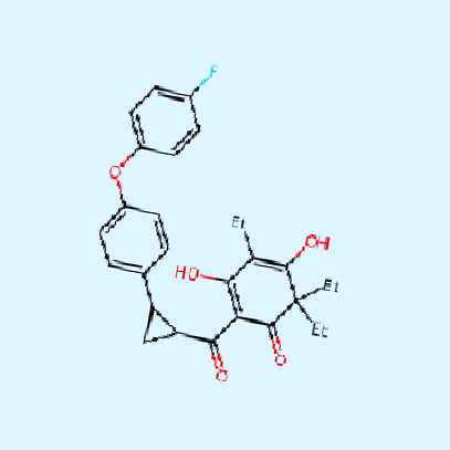 CCC1=C(O)C(CC)(CC)C(=O)C(C(=O)C2CC2c2ccc(Oc3ccc(F)cc3)cc2)=C1O